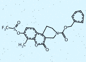 Cc1c(OS(=O)C(F)(F)F)ccc2c3c(c(=O)oc12)CN(C(=O)OCc1ccccc1)CC3